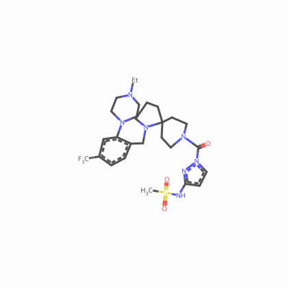 CCN1CCN(c2cc(C(F)(F)F)ccc2CN2CCCC23CCN(C(=O)n2ccc(NS(C)(=O)=O)n2)CC3)CC1